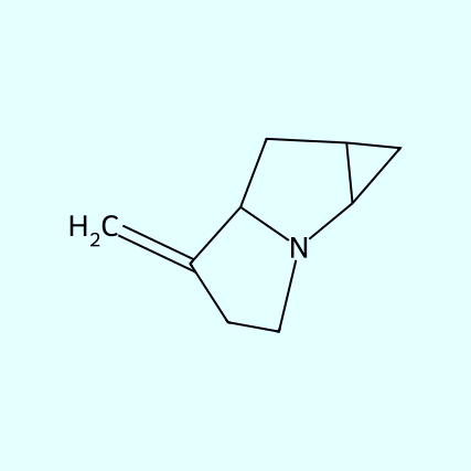 C=C1CCN2C1CC1CC12